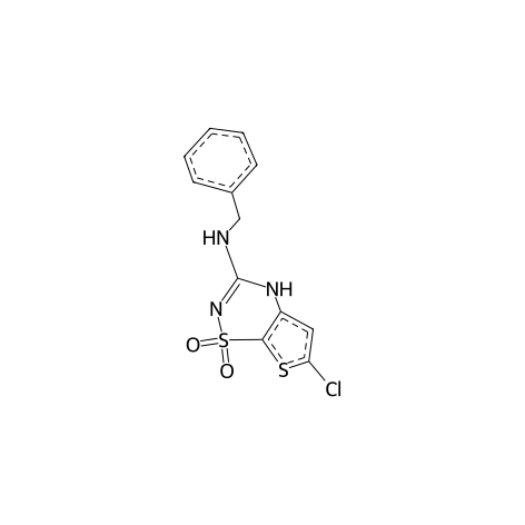 O=S1(=O)N=C(NCc2ccccc2)Nc2cc(Cl)sc21